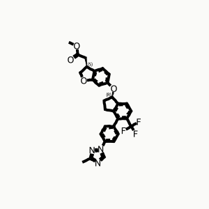 COC(=O)C[C@@H]1COc2cc(O[C@@H]3CCc4c3ccc(C(F)(F)F)c4-c3ccc(-n4cnc(C)n4)cc3)ccc21